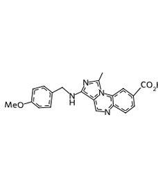 COc1ccc(CNc2nc(C)n3c2cnc2ccc(C(=O)O)cc23)cc1